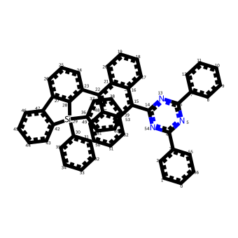 c1ccc(-c2nc(-c3ccccc3)nc(-c3c4ccccc4c(-c4cccc5c4[Si](c4ccccc4)(c4ccccc4)c4ccccc4-5)c4ccccc34)n2)cc1